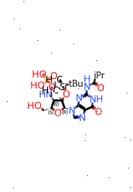 CC(C)C(=O)Nc1nc2c(ncn2[C@@H]2O[C@H](CO)[C@@H](NOP(=O)(O)O)[C@H]2O[Si](C)(C)C(C)(C)C)c(=O)[nH]1